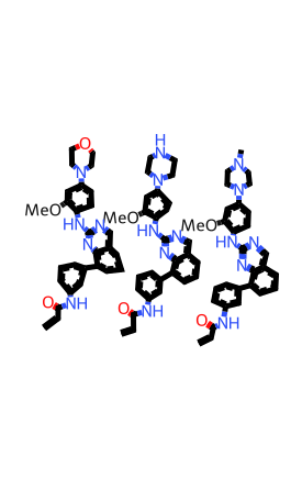 C=CC(=O)Nc1cccc(-c2cccc3cnc(Nc4ccc(N5CCN(C)CC5)cc4OC)nc23)c1.C=CC(=O)Nc1cccc(-c2cccc3cnc(Nc4ccc(N5CCNCC5)cc4OC)nc23)c1.C=CC(=O)Nc1cccc(-c2cccc3cnc(Nc4ccc(N5CCOCC5)cc4OC)nc23)c1